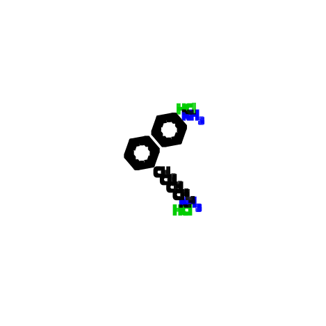 C.C.C.C.Cl.Cl.N.N.c1ccccc1.c1ccccc1